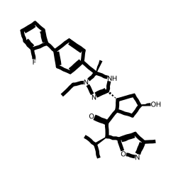 CCN1N=C([C@@H]2C[C@@H](O)CC2C(=O)[C@@H](c2cc(C)no2)C(C)C)N[C@@]1(C)c1ccc(-c2ccccc2F)cc1